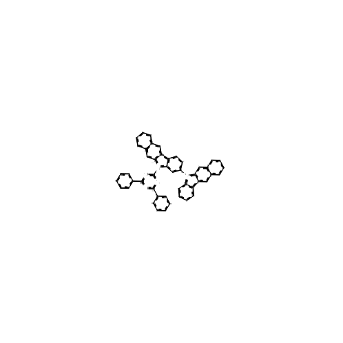 c1ccc(-c2nc(-c3ccccc3)nc(-n3c4cc(-n5c6ccccc6c6cc7ccccc7cc65)ccc4c4cc5ccccc5cc43)n2)cc1